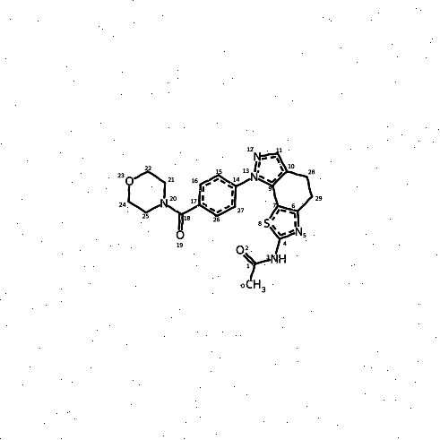 CC(=O)Nc1nc2c(s1)-c1c(cnn1-c1ccc(C(=O)N3CCOCC3)cc1)CC2